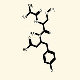 COCC(NC(=O)C(C)N)C(=O)N(C)C(CC(=O)O)Cc1ccc(Cl)cc1